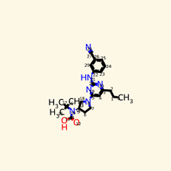 CCCc1cc(N2CC[C@H](N(C(=O)O)C(C)(C)C)C2)nc(Nc2cccc(C#N)c2)n1